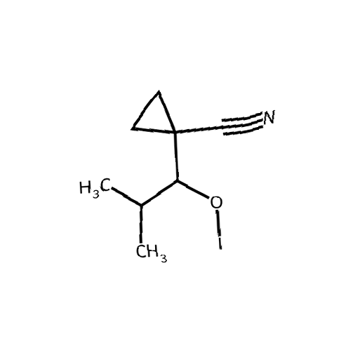 CC(C)C(OI)C1(C#N)CC1